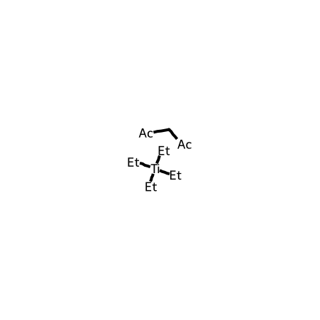 CC(=O)CC(C)=O.C[CH2][Ti]([CH2]C)([CH2]C)[CH2]C